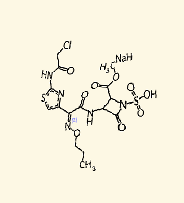 CCCO/N=C(\C(=O)NC1C(=O)N(S(=O)(=O)O)C1C(=O)OC)c1csc(NC(=O)CCl)n1.[NaH]